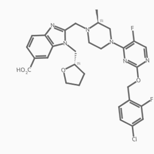 C[C@H]1CN(c2nc(OCc3ccc(Cl)cc3F)ncc2F)CCN1Cc1nc2ccc(C(=O)O)cc2n1C[C@@H]1CCCO1